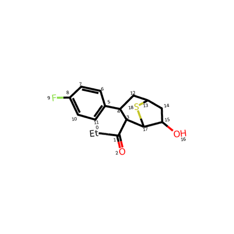 CCC(=O)C1C(c2ccc(F)cc2)CC2CC(O)C1S2